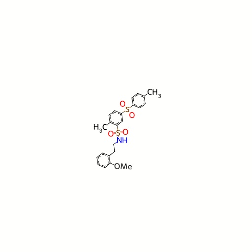 COc1ccccc1CCNS(=O)(=O)c1cc(S(=O)(=O)c2ccc(C)cc2)ccc1C